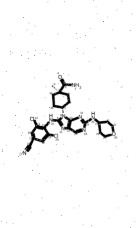 C[C@]1(C(N)=O)CC[C@H](n2c(Nc3c(Cl)cc(C#N)cc3Cl)nc3cnc(NC4CCOCC4)nc32)CC1